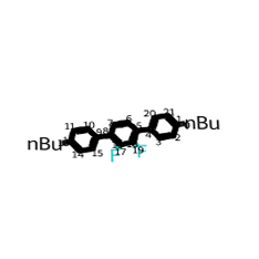 CCCCc1ccc(-c2ccc(-c3ccc(CCCC)cc3)c(F)c2F)cc1